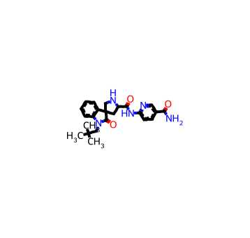 CC(C)(C)CN1C(=O)C2(CNC(C(=O)Nc3ccc(C(N)=O)cn3)C2)c2ccccc21